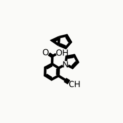 C#Cc1cccc(C(=O)O)c1-n1cccc1.c1cc2cc-2c1